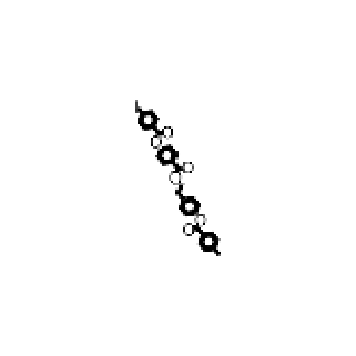 Cc1ccc(C(=O)Oc2ccc(CCOC(=O)c3ccc(OC(=O)c4ccc(I)cc4)cc3)cc2)cc1